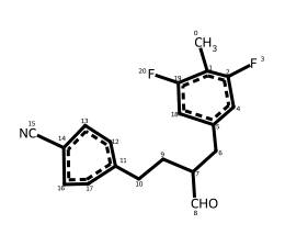 Cc1c(F)cc(CC(C=O)CCc2ccc(C#N)cc2)cc1F